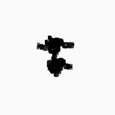 CN1CC[C@]23c4c5ccc(O)c4O[C@H]2C(=O)CC[C@H]3[C@H]1C5.CN1CC[C@]23c4c5ccc(O)c4O[C@H]2C(=O)CC[C@H]3[C@H]1C5.Cl